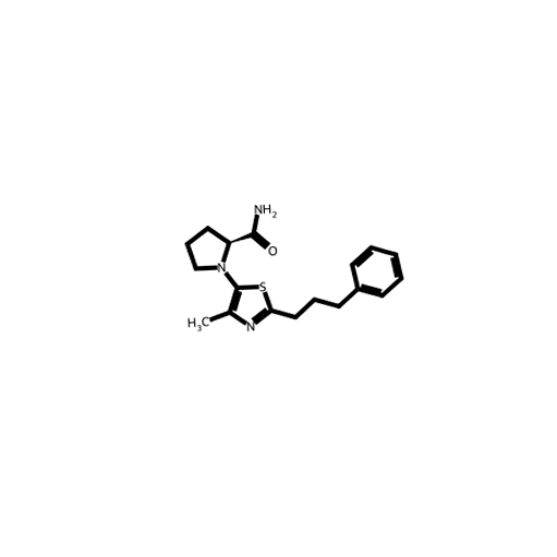 Cc1nc(CCCc2ccccc2)sc1N1CCC[C@H]1C(N)=O